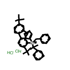 Cl.Cl.[CH2]=[Zr]([CH2]c1ccccc1)([C]1=CC=CC1)([c]1c(C(C)(C)C)ccc2c1Cc1cc(C(C)(C)C)ccc1-2)[C](C)(C)c1ccccc1